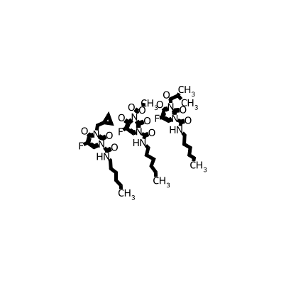 CCCCCCNC(=O)n1cc(F)c(=O)n(C(=O)C(C)C)c1=O.CCCCCCNC(=O)n1cc(F)c(=O)n(C(=O)OC)c1=O.CCCCCCNC(=O)n1cc(F)c(=O)n(CC2CC2)c1=O